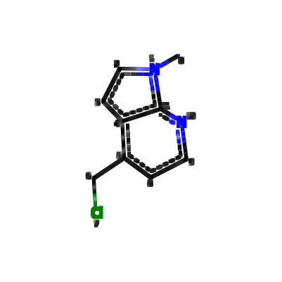 Cn1ccc2c(CCl)ccnc21